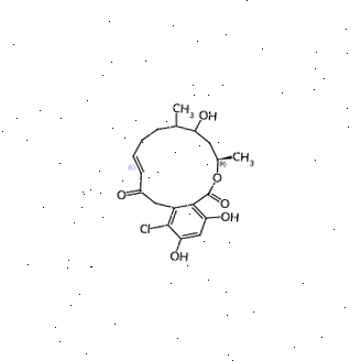 CC1CC/C=C/C(=O)Cc2c(Cl)c(O)cc(O)c2C(=O)O[C@H](C)CC1O